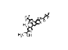 CC[C@H](O)c1cc(C)c(-c2cc3cnc(NC(=O)C4CC4(F)F)cc3n3cc(C(F)(F)F)nc23)cn1